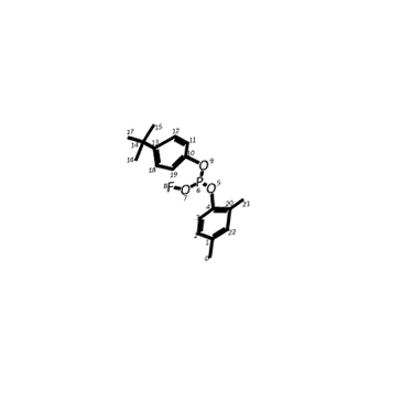 Cc1ccc(OP(OF)Oc2ccc(C(C)(C)C)cc2)c(C)c1